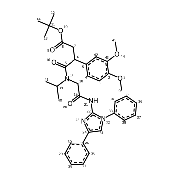 COc1ccc(C(CC(=O)OC(C)(C)C)C(=O)N(CC(=O)Nc2nc(-c3ccccc3)cn2-c2ccccc2)C(C)C)cc1OC